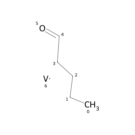 CCCCC=O.[V]